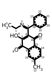 CC/N=C(\C1=C(O)C(=O)c2cc(C)ccc2C1=O)c1ccccc1